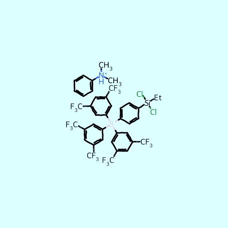 CC[Si](Cl)(Cl)c1ccc([B-](c2cc(C(F)(F)F)cc(C(F)(F)F)c2)(c2cc(C(F)(F)F)cc(C(F)(F)F)c2)c2cc(C(F)(F)F)cc(C(F)(F)F)c2)cc1.C[NH+](C)c1ccccc1